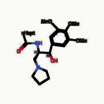 CCCCCCCC(=O)N[C@H](CN1CCCC1)[C@H](O)c1cc(OC)c(OC)c(OC)c1